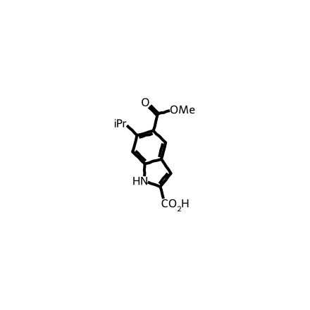 COC(=O)c1cc2cc(C(=O)O)[nH]c2cc1C(C)C